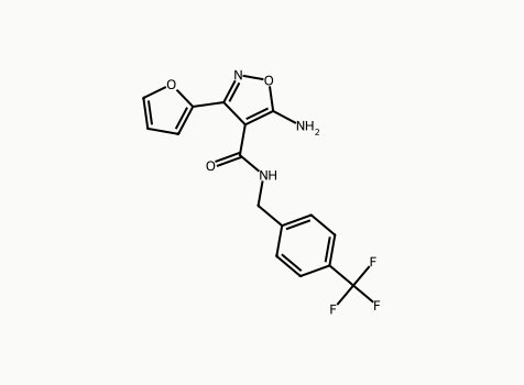 Nc1onc(-c2ccco2)c1C(=O)NCc1ccc(C(F)(F)F)cc1